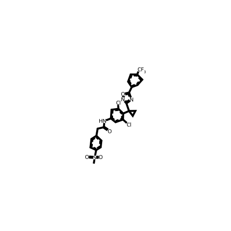 CS(=O)(=O)c1ccc(CC(=O)Nc2cc(Cl)c(C3(c4noc(-c5ccc(C(F)(F)F)cc5)n4)CC3)c(Cl)c2)cc1